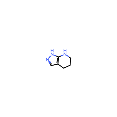 c1n[nH]c2c1CCCN2